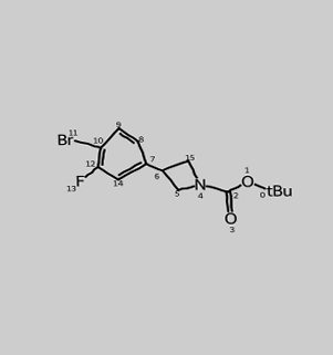 CC(C)(C)OC(=O)N1CC(c2ccc(Br)c(F)c2)C1